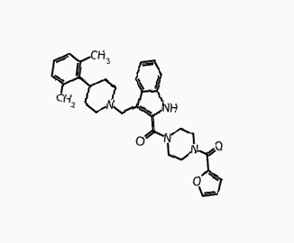 Cc1cccc(C)c1C1CCN(Cc2c(C(=O)N3CCN(C(=O)c4ccco4)CC3)[nH]c3ccccc23)CC1